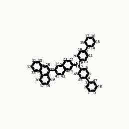 c1ccc(-c2ccc(N(c3ccc(-c4ccccc4)cc3)c3ccc4cc(-c5cc6ccccc6c6ccccc56)ccc4c3)cc2)cc1